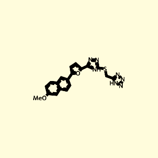 COc1ccc2cc(-c3ccc(-c4nnc(SCc5nnn[nH]5)[nH]4)o3)ccc2c1